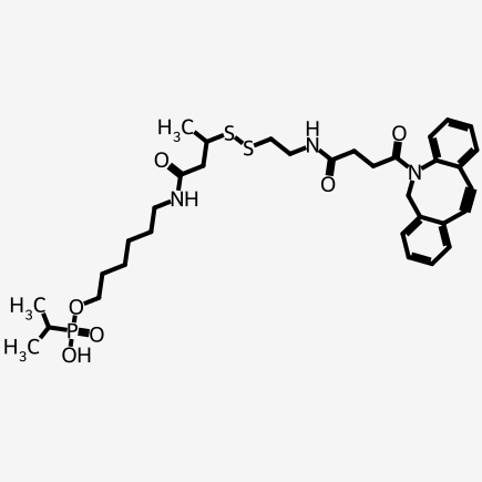 CC(CC(=O)NCCCCCCOP(=O)(O)C(C)C)SSCCNC(=O)CCC(=O)N1Cc2ccccc2C#Cc2ccccc21